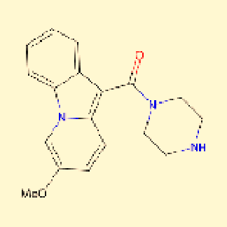 COc1ccc2c(C(=O)N3CCNCC3)c3ccccc3n2c1